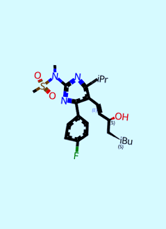 CC[C@H](C)C[C@H](O)/C=C/c1c(-c2ccc(F)cc2)nc(N(C)S(C)(=O)=O)nc1C(C)C